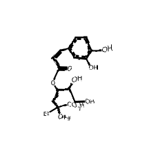 CCC(O)(CC(OC(=O)/C=C\c1ccc(O)c(O)c1)C(O)CO)C(=O)O